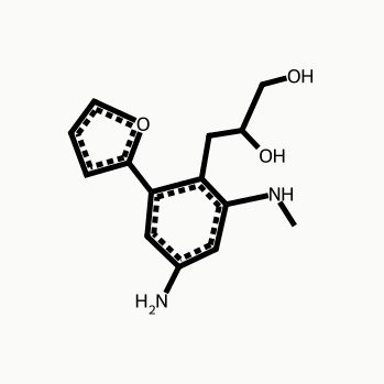 CNc1cc(N)cc(-c2ccco2)c1CC(O)CO